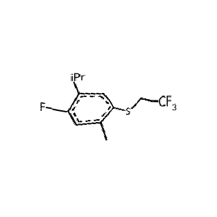 Cc1cc(F)c(C(C)C)cc1SCC(F)(F)F